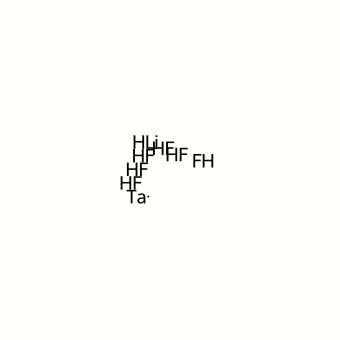 F.F.F.F.F.F.[LiH].[Ta]